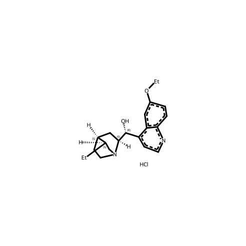 CCOc1ccc2nccc([C@@H](O)[C@@H]3C[C@@H]4CCN3C[C@H]4CC)c2c1.Cl